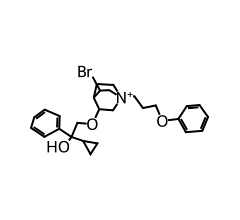 OC(COC1C[N+]2(CCCOc3ccccc3)CCC1C(Br)C2)(c1ccccc1)C1CC1